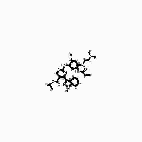 C=CC(=O)Nc1cc(Nc2ncc(C(=O)OC(C)C)c(-c3nn(C)c4ccccc34)n2)c(OC)cc1N(C)CCN(C)C